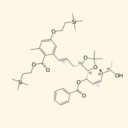 Cc1cc(OCC[Si](C)(C)C)cc(/C=C/C[C@@H]2OC(C)(C)O[C@@H]2C(/C=C\[C@@H](C)[C@H](C)O)OC(=O)c2ccccc2)c1C(=O)OCC[Si](C)(C)C